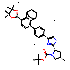 C[C@@H]1C[C@@H](c2nc(-c3ccc(-c4ccc(B5OC(C)(C)C(C)(C)O5)c5c4C4CCC5CC4)cc3)c[nH]2)N(C(=O)OC(C)(C)C)C1